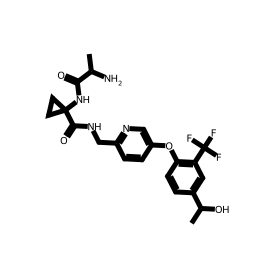 CC(N)C(=O)NC1(C(=O)NCc2ccc(Oc3ccc(C(C)O)cc3C(F)(F)F)cn2)CC1